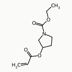 C=CC(=O)OC1CCN(C(=O)OCC)C1